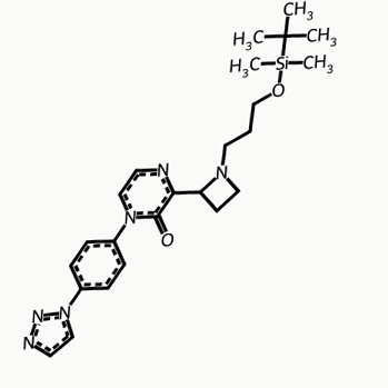 CC(C)(C)[Si](C)(C)OCCCN1CCC1c1nccn(-c2ccc(-n3ccnn3)cc2)c1=O